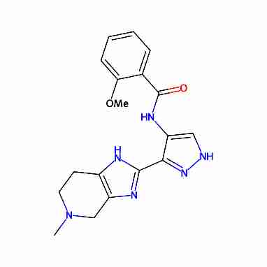 COc1ccccc1C(=O)Nc1c[nH]nc1-c1nc2c([nH]1)CCN(C)C2